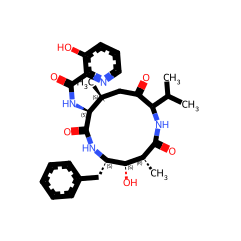 CC(C)C1NC(=O)[C@H](C)[C@H](O)[C@H](Cc2ccccc2)NC(=O)[C@@H](NC(=O)c2ncccc2O)[C@@H](C)CC1=O